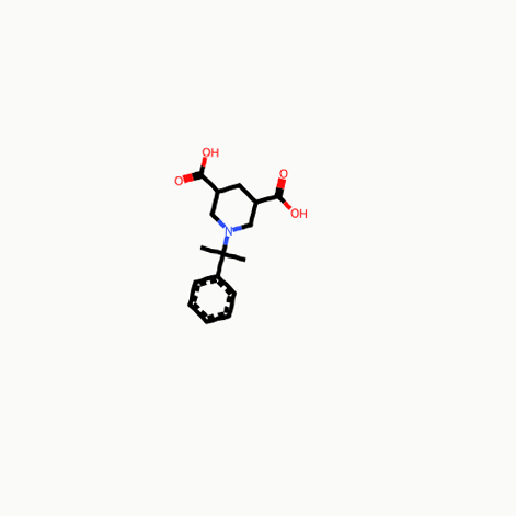 CC(C)(c1ccccc1)N1CC(C(=O)O)CC(C(=O)O)C1